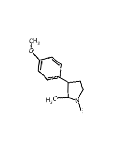 [C]N1CCC(c2ccc(OC)cc2)C1C